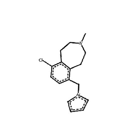 CN1CCc2c(Cl)ccc(Cn3cccc3)c2CC1